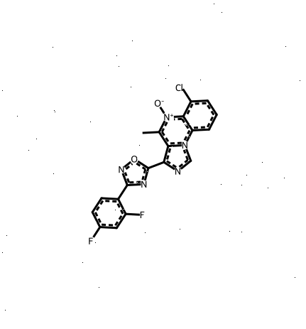 Cc1c2c(-c3nc(-c4ccc(F)cc4F)no3)ncn2c2cccc(Cl)c2[n+]1[O-]